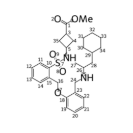 COC(=O)C1CC(NS(=O)(=O)c2ccccc2COc2ccccc2CNC(C)CC2CCCCC2)C1